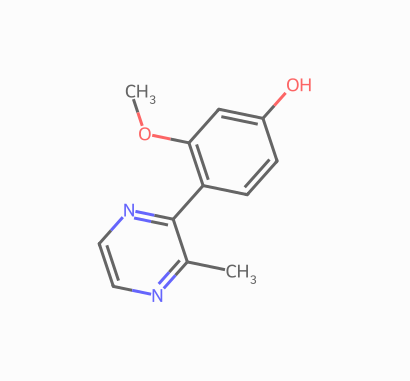 COc1cc(O)ccc1-c1nccnc1C